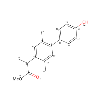 COC(=O)C(C)c1cc(C)c(-c2ccc(O)cc2)cc1C